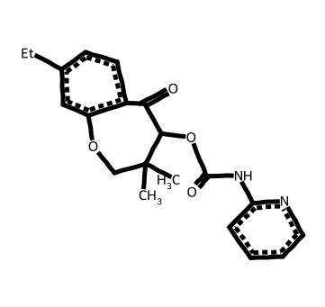 CCc1ccc2c(c1)OCC(C)(C)C(OC(=O)Nc1ccccn1)C2=O